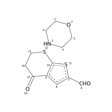 C1COCCN1.O=Cc1cc2c(s1)SCCC2=O